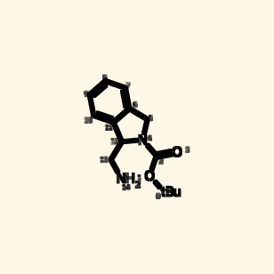 CC(C)(C)OC(=O)N1Cc2ccccc2C1CN